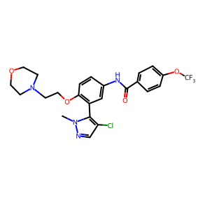 Cn1ncc(Cl)c1-c1cc(NC(=O)c2ccc(OC(F)(F)F)cc2)ccc1OCCN1CCOCC1